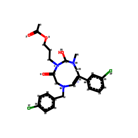 CC(=O)OCCCN1C(=O)CN(Cc2ccc(Cl)cc2)/C=C(/c2cccc(Cl)c2)CN(C)C1O